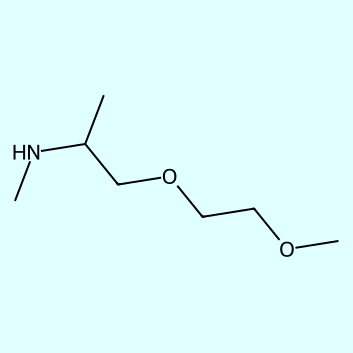 CNC(C)COCCOC